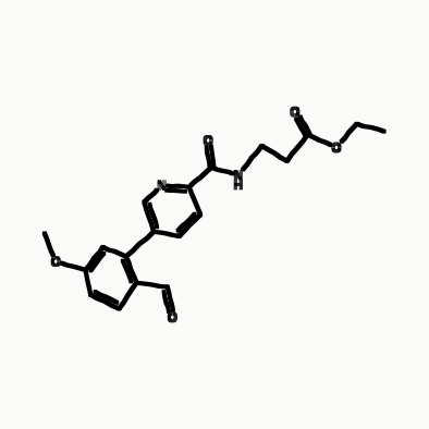 CCOC(=O)CCNC(=O)c1ccc(-c2cc(OC)ccc2C=O)cn1